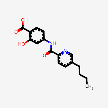 CCCCc1ccc(C(=O)Nc2ccc(C(=O)O)c(O)c2)nc1